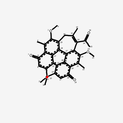 COc1c(C)c2c(=O)cc(OC)c3c4c(OC)cc(=O)c5c(C)c(OC)c6c(c(c1CC(C)=C6C(C)=O)c23)c54